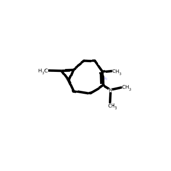 C/C1=C(\N(C)C)CCC2C(C)C2CC1